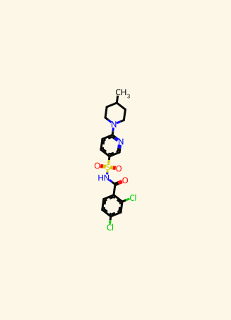 CC1CCN(c2ccc(S(=O)(=O)NC(=O)c3ccc(Cl)cc3Cl)cn2)CC1